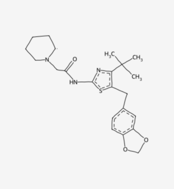 CC(C)(C)c1nc(NC(=O)CN2[CH]CCCC2)sc1Cc1ccc2c(c1)OCO2